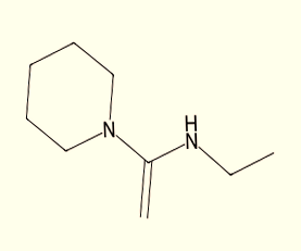 C=C(NCC)N1CCCCC1